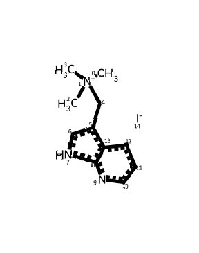 C[N+](C)(C)Cc1c[nH]c2ncccc12.[I-]